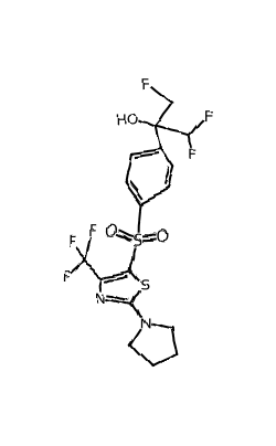 O=S(=O)(c1ccc(C(O)(CF)C(F)F)cc1)c1sc(N2CCCC2)nc1C(F)(F)F